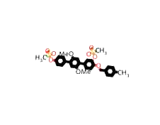 COc1cc(-c2ccc(OCc3ccc(C)cc3)c(OS(C)(=O)=O)c2)c(OC)cc1-c1ccc(OS(C)(=O)=O)cc1